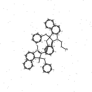 CC(C)CCN1/C(=C/C=C/C2=[N+](C)c3ccc4ccccc4c3C2(C)Cc2ccccc2)C(Cc2ccccc2)(Cc2ccccc2)c2c1ccc1ccccc21